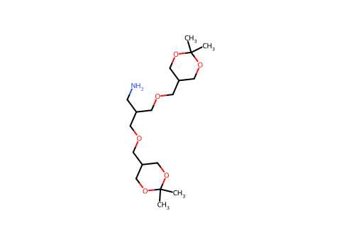 CC1(C)OCC(COCC(CN)COCC2COC(C)(C)OC2)CO1